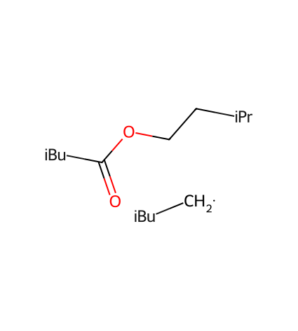 CCC(C)C(=O)OCCC(C)C.[CH2]C(C)CC